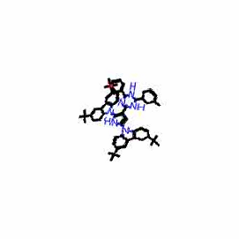 CC1C=CCC(C2NC(c3cc(N4C5C=CC(C(C)(C)C)=CC5C5CC(C(C)(C)C)C=CC54)[nH]c3N3c4ccc(C(C)(C)C)cc4C4C=C(C(C)(C)C)CCC43)=NC(c3ccccc3)N2)C1